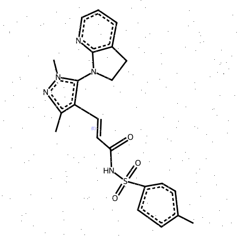 Cc1ccc(S(=O)(=O)NC(=O)/C=C/c2c(C)nn(C)c2N2CCc3cccnc32)cc1